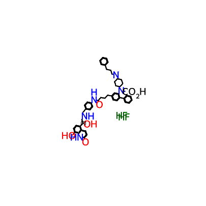 CN(CCCc1ccccc1)C1CCC(N(C(=O)O)c2cc(CCCC(=O)Nc3ccc(CNC[C@H](O)c4ccc(O)c5[nH]c(=O)ccc45)cc3)ccc2-c2ccccc2)CC1.F.F